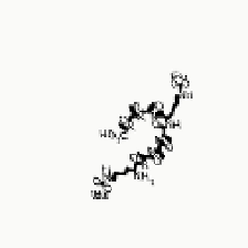 CC(C)(C)OC(=O)NCCCCC(N)c1nc(-c2nc(-c3nc(C(=O)NC(CCCCNC(=O)OC(C)(C)C)c4nc(-c5nc(-c6nc(C(=O)O)co6)co5)co4)co3)co2)co1